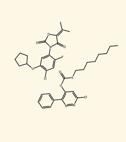 CC(C)=C1OC(=O)N(c2cc(OC3CCCC3)c(Cl)cc2F)C1=O.CCCCCCCCSC(=O)Oc1cc(Cl)nnc1-c1ccccc1